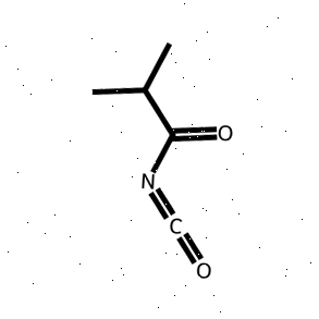 CC(C)C(=O)N=C=O